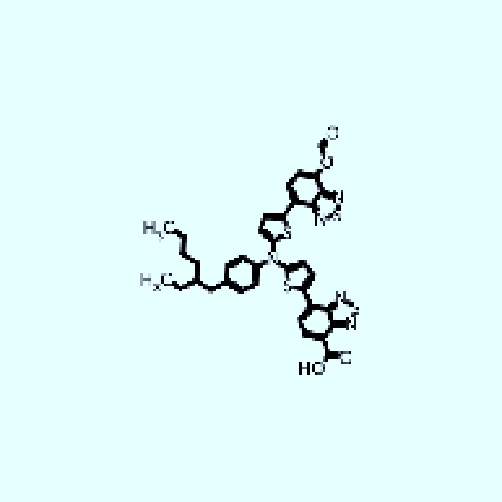 CCCCC(CC)Cc1ccc(N(c2ccc(-c3ccc(OC=O)c4nsnc34)s2)c2ccc(-c3ccc(C(=O)O)c4nsnc34)s2)cc1